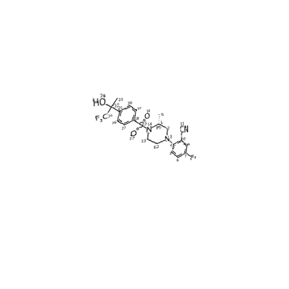 C[C@@H]1CN(c2ccc(F)cc2C#N)CCN1S(=O)(=O)c1ccc(C(C)(O)C(F)(F)F)cc1